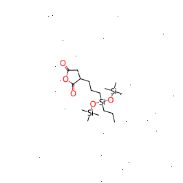 CCC[Si](CCCC1CC(=O)OC1=O)(O[Si](C)(C)C)O[Si](C)(C)C